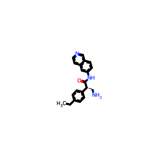 CCc1ccc([C@@H](CN)C(=O)Nc2ccc3cnccc3c2)cc1